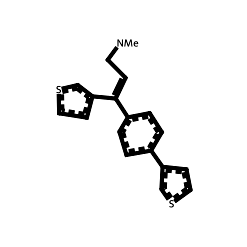 CNC/C=C(/c1ccc(-c2ccsc2)cc1)c1ccsc1